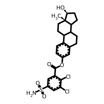 C[C@]12CCC3c4ccc(OC(=O)c5cc(S(N)(=O)=O)cc(Cl)c5Cl)cc4CCC3C1CC[C@@H]2O